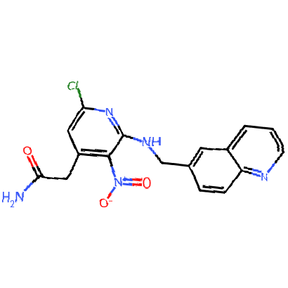 NC(=O)Cc1cc(Cl)nc(NCc2ccc3ncccc3c2)c1[N+](=O)[O-]